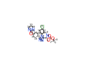 CC(C)(C)OC(=O)ON1Cc2cc(Cl)ccc2-n2c(nnc2[C@H]2CC[C@@H](Oc3ncccn3)CC2)C1